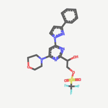 O=S(=O)(OCC(O)c1nc(N2CCOCC2)cc(-n2ccc(-c3ccccc3)n2)n1)C(F)(F)F